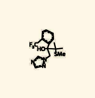 CSC(C)(C)C(O)(Cn1cncn1)c1ccccc1C(F)(F)F